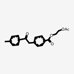 CC(=O)OCCOC(=O)c1ccc(CC(=O)c2ccc(C)cc2)cc1